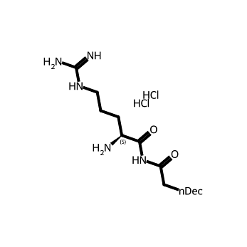 CCCCCCCCCCCC(=O)NC(=O)[C@@H](N)CCCNC(=N)N.Cl.Cl